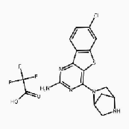 Nc1nc(N2CC3CC2CN3)c2sc3cc(Cl)ccc3c2n1.O=C(O)C(F)(F)F